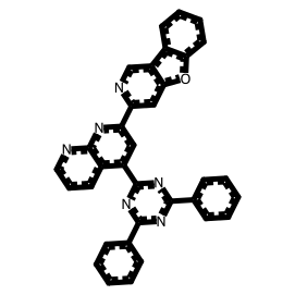 c1ccc(-c2nc(-c3ccccc3)nc(-c3cc(-c4cc5oc6ccccc6c5cn4)nc4ncccc34)n2)cc1